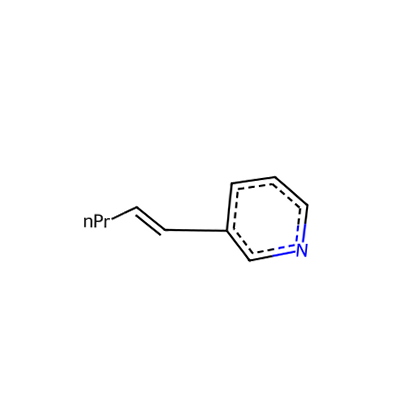 CCCC=Cc1cccnc1